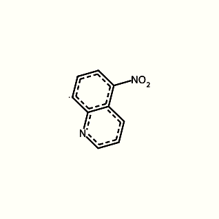 O=[N+]([O-])c1cc[c]c2ncccc12